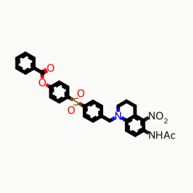 CC(=O)Nc1ccc2c(c1[N+](=O)[O-])CCCN2Cc1ccc(S(=O)(=O)c2ccc(OC(=O)c3ccccc3)cc2)cc1